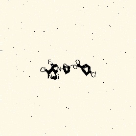 O=C(OC[C@@H]1CC[C@H](n2cc(F)c3c(Cl)ncnc32)O1)c1ccc(Cl)cc1